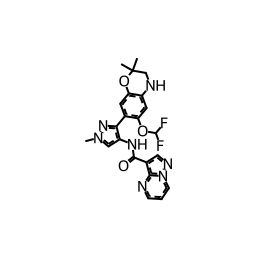 Cn1cc(NC(=O)c2cnn3cccnc23)c(-c2cc3c(cc2OC(F)F)NCC(C)(C)O3)n1